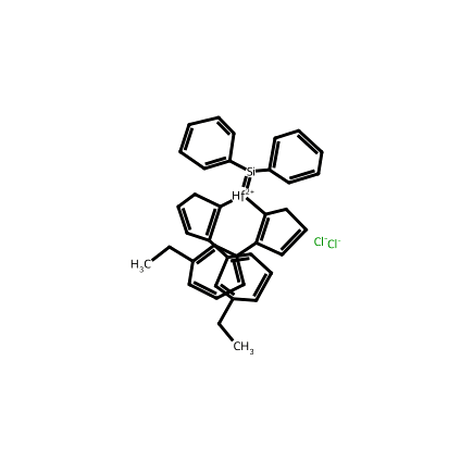 CCc1cccc(C2=[C]([Hf+2]([C]3=C(c4cccc(CC)c4)C=CC3)=[Si](c3ccccc3)c3ccccc3)CC=C2)c1.[Cl-].[Cl-]